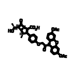 CC(=O)Oc1ccc2c(c1)Oc1cc(OC(C)=O)ccc1N2C(=O)COc1ccc(C2=C(C(=O)O)N3C(=O)[C@H]([C@@H](C)O)C3[C@H]2C)cc1